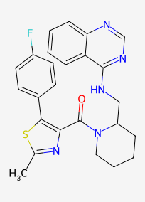 Cc1nc(C(=O)N2CCCCC2CNc2ncnc3ccccc23)c(-c2ccc(F)cc2)s1